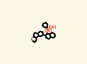 O=P(O)(Oc1c(-c2ccc3ccc4ccccc4c3c2)ccc2ccccc12)c1ccccc1